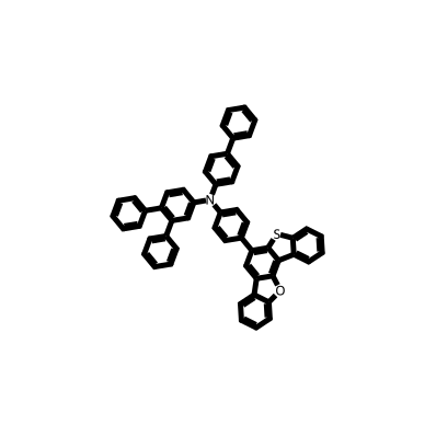 c1ccc(-c2ccc(N(c3ccc(-c4cc5c6ccccc6oc5c5c4sc4ccccc45)cc3)c3ccc(-c4ccccc4)c(-c4ccccc4)c3)cc2)cc1